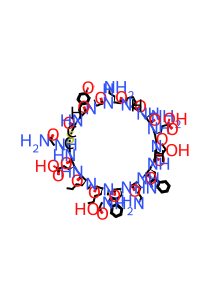 CCCC[C@H]1C(=O)N(C)[C@@H](CCCC)C(=O)N[C@@H](CCC(=O)O)C(=O)N[C@H](CNCC(N)=O)CSCC(=O)N[C@H]2Cc3ccc(OC)cc3N(C2=O)[C@@H](C)C(=O)N[C@@H](CCN)C(=O)N2CCC[C@H]2C(=O)N[C@@H](CN)C(=O)N[C@@H](CCC(=O)O)C(=O)N2C[C@H](O)C[C@H]2C(=O)N[C@@H](Cc2c[nH]c3ccccc23)C(=O)N[C@@H](CCCN)C(=O)N[C@@H](Cc2cn(CC(=O)O)c3ccccc23)C(=O)N1C